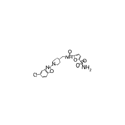 NS(=O)(=O)c1ccc(C(=O)NCC2CCN(c3nc4cc(Cl)ccc4o3)CC2)o1